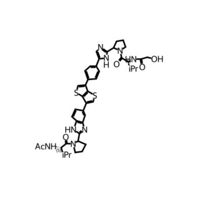 CC(=O)N[C@H](C(=O)N1CCCC1c1nc2cc(-c3csc4c(-c5ccc(-c6cnc(C7CCCN7C(=O)[C@@H](NC(=O)CO)C(C)C)[nH]6)cc5)csc34)ccc2[nH]1)C(C)C